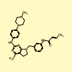 C/C=C/C(=O)Nc1cccc(CN2CCc3c(C)nc(Nc4ccc(N5CCN(C)CC5)cc4)nc32)c1